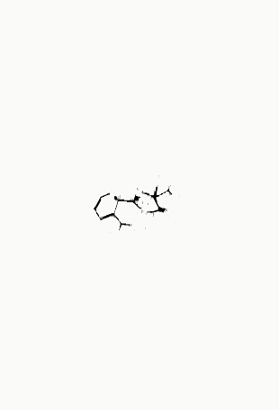 CC(C)c1cccnc1C1=NC(C)(C(C)C)C(=O)N1